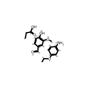 CCC(=O)O.CCOc1ccc(N)cc1.COc1cc(C=O)ccc1O